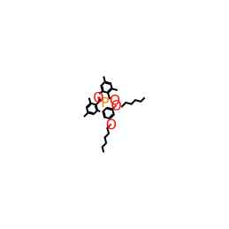 CCCCCCOc1ccc(P(C(=O)c2c(C)cc(C)cc2C)C(=O)c2c(C)cc(C)cc2C)c(OCCCCCC)c1